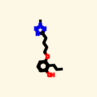 CCCc1c(O)[c]ccc1OCCCCc1nnn(C)n1